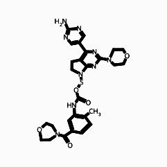 Cc1ccc(C(=O)N2CCOCC2)cc1NC(=O)OSN1CCc2c(-c3cnc(N)nc3)nc(N3CCOCC3)nc21